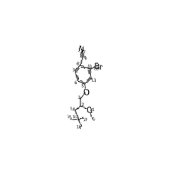 COC(COc1ccc(C#N)c(Br)c1)CC(C)(C)C